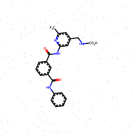 O=C(O)NCc1cc(NC(=O)c2cccc(C(=O)Nc3ccccc3)c2)nc(C(F)(F)F)c1